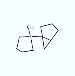 CS1(C23CCCC2C3)CCCC1